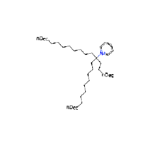 CCCCCCCCCCCCCCCCCCC(CCCCCCCCCCCC)(CCCCCCCCCCCCCCCCCC)[n+]1ccccc1